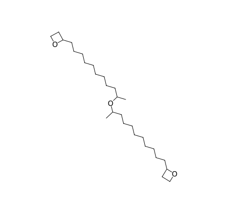 CC(CCCCCCCCCC1CCO1)OC(C)CCCCCCCCCC1CCO1